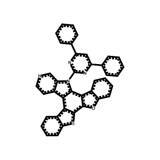 c1ccc(-c2cc(-c3ccccc3)nc(-n3c4cnccc4c4c5c6ccccc6sc5c5oc6ccccc6c5c43)n2)cc1